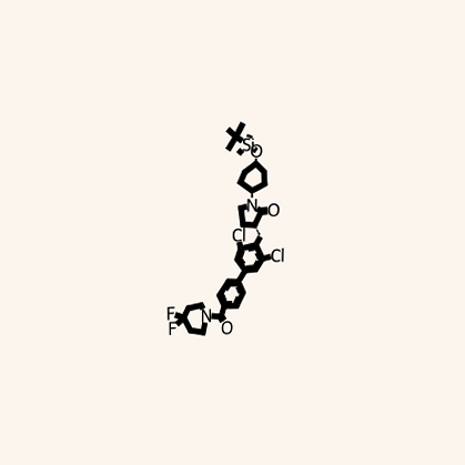 CC(C)(C)[Si](C)(C)O[C@H]1CC[C@@H](N2CC[C@@H](Cc3c(Cl)cc(-c4ccc(C(=O)N5CCC(F)(F)CC5)cc4)cc3Cl)C2=O)CC1